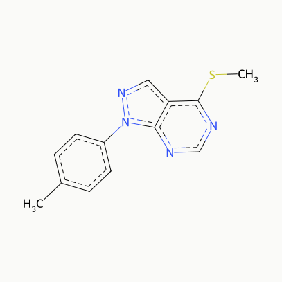 CSc1ncnc2c1cnn2-c1ccc(C)cc1